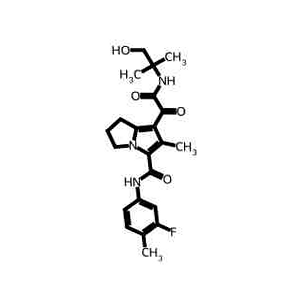 Cc1ccc(NC(=O)c2c(C)c(C(=O)C(=O)NC(C)(C)CO)c3n2CCC3)cc1F